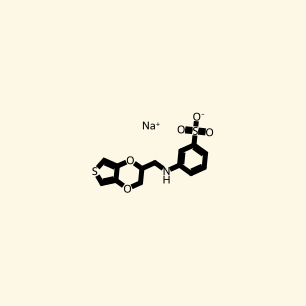 O=S(=O)([O-])c1cccc(NCC2COc3cscc3O2)c1.[Na+]